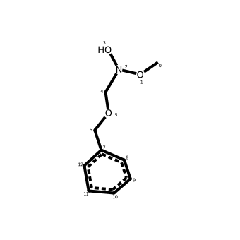 CON(O)COCc1ccccc1